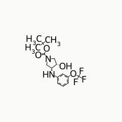 CC(C)(C)OC(=O)N1C[C@H](Nc2cccc(OC(F)(F)F)c2)[C@@H](O)C1